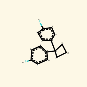 Fc1ccc(C2(c3ccc(F)cc3)[CH]CC2)cc1